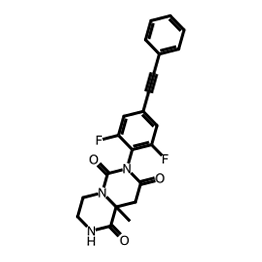 CC12CC(=O)N(c3c(F)cc(C#Cc4ccccc4)cc3F)C(=O)N1CCNC2=O